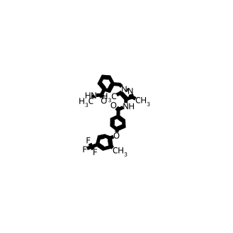 CNC(=O)c1cccc(Cn2nc(C)c(NC(=O)c3ccc(Oc4ccc(C(F)(F)F)cc4C)cc3)c2C)c1